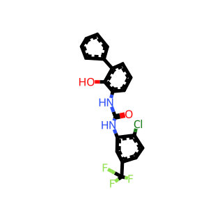 O=C(Nc1cc(C(F)(F)F)ccc1Cl)Nc1cccc(-c2ccccc2)c1O